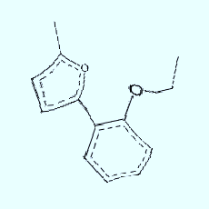 CCOc1ccccc1-c1ccc(C)o1